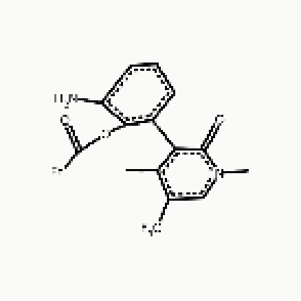 CCC(=O)Oc1c(N)cccc1-c1c(C)c(C(F)(F)F)cn(C)c1=O